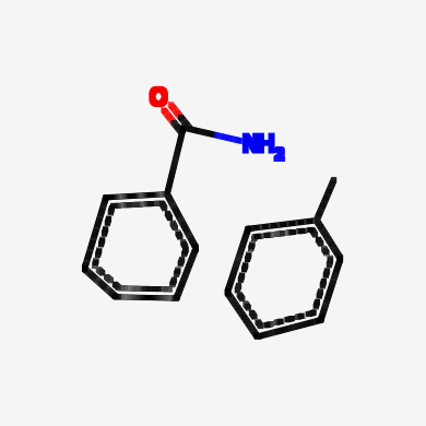 Cc1ccccc1.NC(=O)c1ccccc1